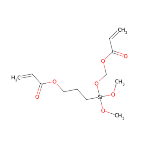 C=CC(=O)OCCC[Si](OC)(OC)OCOC(=O)C=C